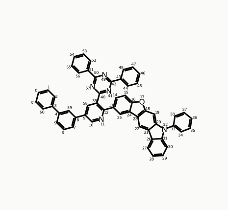 c1ccc(-c2cccc(-c3cnc(-c4ccc5oc6cc7c(cc6c5c4)c4ccccc4n7-c4ccccc4)c(-c4nc(-c5ccccc5)nc(-c5ccccc5)n4)c3)c2)cc1